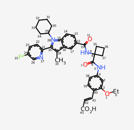 CCOc1cc(NC(=O)C2(NC(=O)c3ccc4c(c3)c(C)c(-c3ccc(F)cn3)n4C3CCCCC3)CCC2)ccc1C=CC(=O)O